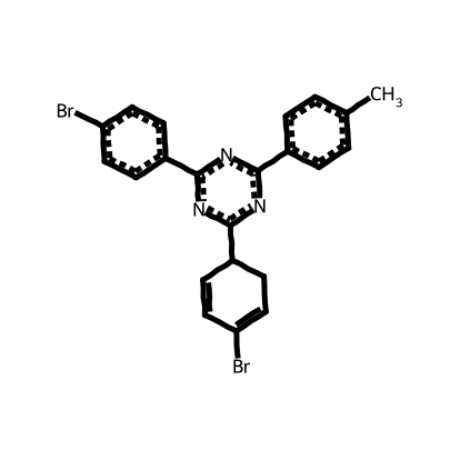 Cc1ccc(-c2nc(-c3ccc(Br)cc3)nc(C3C=CC(Br)=CC3)n2)cc1